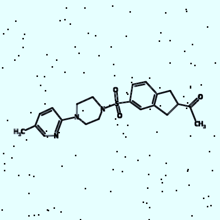 CC(=O)C1Cc2ccc(S(=O)(=O)N3CCN(c4ccc(C)cn4)CC3)cc2C1